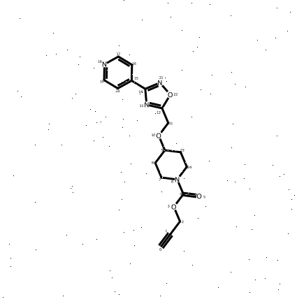 C#CCOC(=O)N1CCC(OCc2nc(-c3ccncc3)no2)CC1